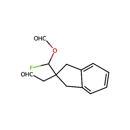 O=CCC1(C(F)OC=O)Cc2ccccc2C1